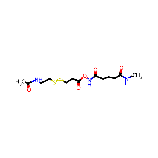 CNC(=O)CCCC(=O)NOC(=O)CCSSCCNC(C)=O